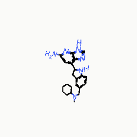 CN(Cc1ccc2c(c1)CC(c1cc(N)nc3[nH]cnc13)N2)C1CCCCC1